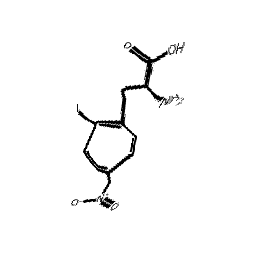 NC(Cc1ccc([N+](=O)[O-])cc1I)C(=O)O